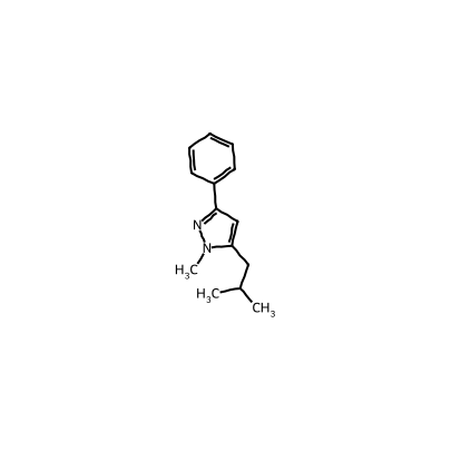 CC(C)Cc1cc(-c2ccccc2)nn1C